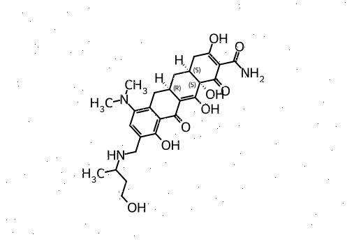 CC(CCO)NCc1cc(N(C)C)c2c(c1O)C(=O)C1=C(O)[C@]3(O)C(=O)C(C(N)=O)=C(O)C[C@@H]3C[C@@H]1C2